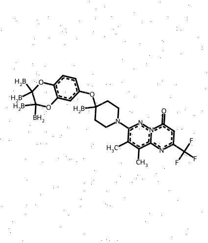 BC1(Oc2ccc3c(c2)OC(B)(B)C(B)(B)O3)CCN(c2nn3c(=O)cc(C(F)(F)F)nc3c(C)c2C)CC1